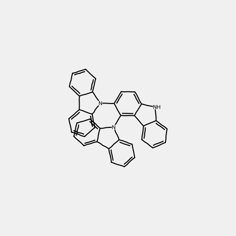 c1ccc2c(c1)[nH]c1ccc(-n3c4ccccc4c4ccccc43)c(-n3c4ccccc4c4ccccc43)c12